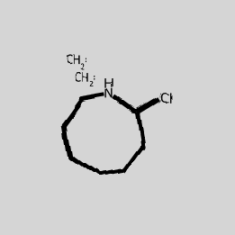 Cl[C]1CCCCCCN1.[CH2].[CH2]